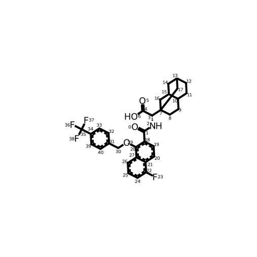 O=C(N[C@H](C(=O)O)C12CCC3CCC(CC3C1)C2)c1ccc2c(F)cccc2c1OCc1ccc(C(F)(F)F)cc1